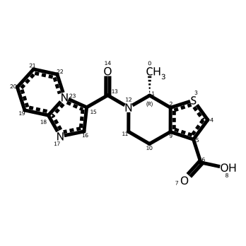 C[C@@H]1c2scc(C(=O)O)c2CCN1C(=O)c1cnc2ccccn12